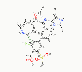 Cc1cc(-c2oc(C)nc2-c2cc(-c3cc(F)c(CO)c(S(C)(=O)=O)c3)ccc2-n2cc(C)nc2C)cc(Cl)n1